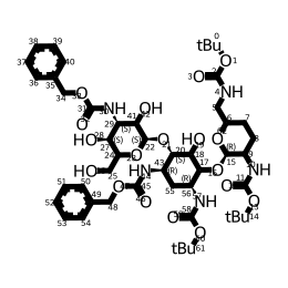 CC(C)(C)OC(=O)NCC1CCC(NC(=O)OC(C)(C)C)[C@@H](OC2C(O)[C@@H](O[C@H]3OC(CO)[C@@H](O)[C@H](NC(=O)OCc4ccccc4)C3O)[C@H](NC(=O)OCc3ccccc3)C[C@H]2NC(=O)OC(C)(C)C)O1